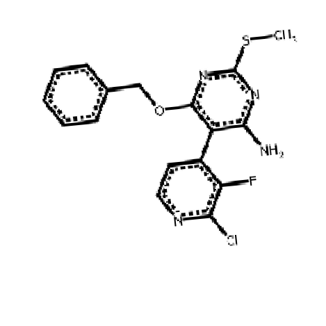 CSc1nc(N)c(-c2ccnc(Cl)c2F)c(OCc2ccccc2)n1